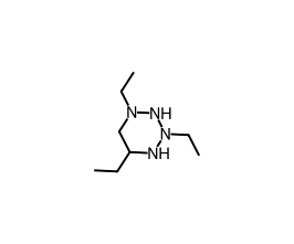 CCC1CN(CC)NN(CC)N1